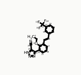 CCOc1c(/C=C/c2cccc(C(F)(F)F)c2)cccc1-c1nn[nH]c1C#N